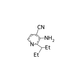 CCC(CC)c1nccc(C#N)c1N